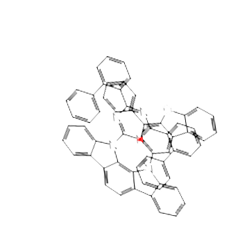 c1ccc(-c2ccccc2-c2nc(-c3ccccc3-c3ccccc3)nc(-n3c4ccccc4c4ccc5c6ccccc6n(-c6cc(-c7ccccc7)c7oc8ccccc8c7c6)c5c43)n2)cc1